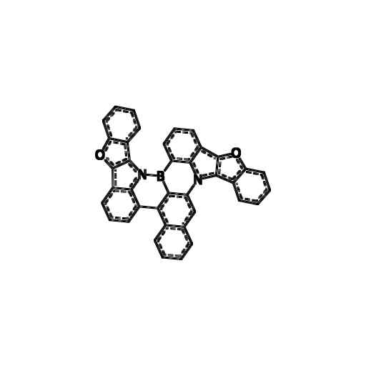 c1ccc2c3c4c(cc2c1)-n1c2c(cccc2c2oc5ccccc5c21)B4n1c2c-3cccc2c2oc3ccccc3c21